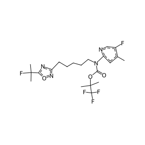 Cc1cc(N(CCCCCc2noc(C(C)(C)F)n2)C(=O)OC(C)(C)C(F)(F)F)ncc1F